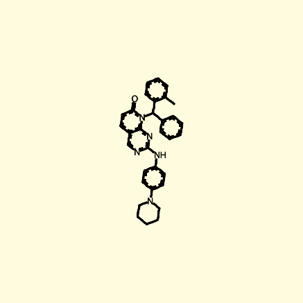 Cc1ccccc1C(c1ccccc1)n1c(=O)ccc2cnc(Nc3ccc(N4CCCCC4)cc3)nc21